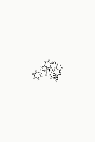 C=CC(=O)OC1CCC(Oc2ccc3cc(-c4ccccc4)n(CCCC(C)C)c3c2)C1C(F)(F)F